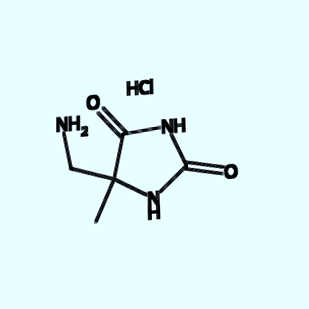 CC1(CN)NC(=O)NC1=O.Cl